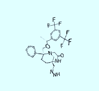 C[C@@H](OC[C@@]1(c2ccccc2)CC[C@]2(CN=N)CN1CC(=O)N2)c1cc(C(F)(F)F)cc(C(F)(F)F)c1